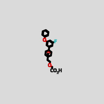 O=C(O)COCCC12CCC(c3cc(F)cc(Oc4ccccc4)c3)(CC1)OC2